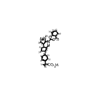 Cc1cc(-c2ccc(C3(C(=O)O)CC3)cc2)ccc1-c1cnn(C)c1NC(=O)O[C@H](C)c1ccccc1